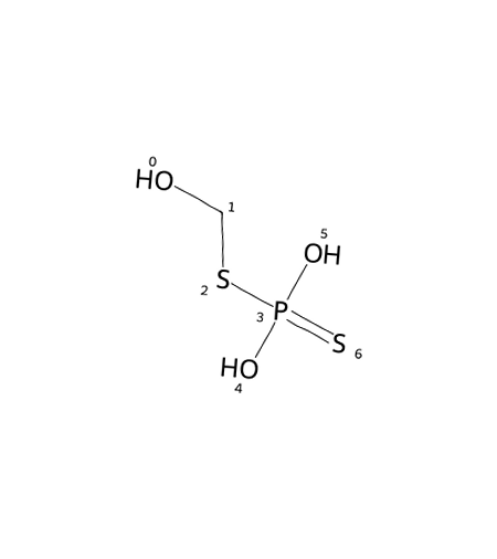 OCSP(O)(O)=S